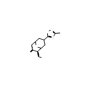 Cc1noc(C2CC3CC(=O)/C(=C/O)C(C2)N3)n1